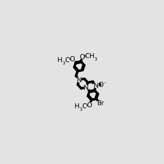 COc1cc2c(cc1Br)[N+]([O-])=CC1CN(Cc3ccc(OC)c(OC)c3)CCN21